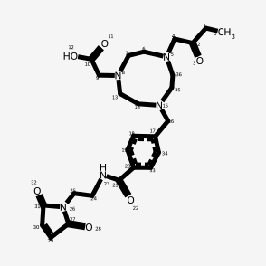 CCC(=O)CN1CCN(CC(=O)O)CCN(Cc2ccc(C(=O)NCCN3C(=O)C=CC3=O)cc2)CC1